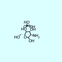 N[C@H]1C(O)O[C@H](CO)[C@@H](O)[C@@H]1O.O=[Se](O)O